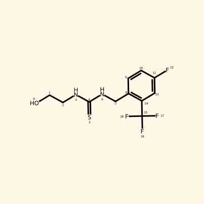 OCCNC(=S)NCc1ccc(F)cc1C(F)(F)F